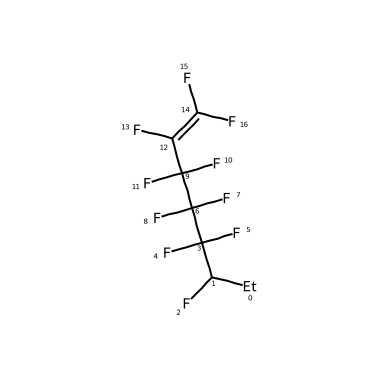 CCC(F)C(F)(F)C(F)(F)C(F)(F)C(F)=C(F)F